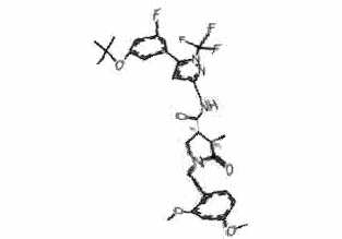 COc1ccc(CN2C[C@H](C(=O)Nc3cc(-c4cc(F)cc(OC(C)(C)C)c4)n(C(F)(F)F)n3)[C@@H](C)C2=O)c(OC)c1